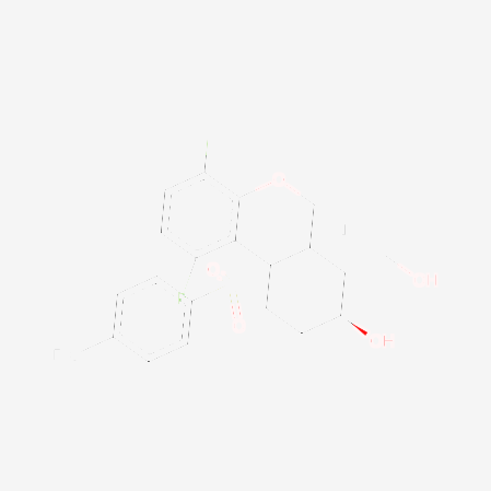 O=S(=O)(c1ccc(C(F)(F)F)cc1)[C@@]12CC[C@H](O)[C@@H](CO)[C@@H]1COc1c(F)ccc(F)c12